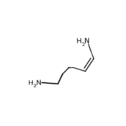 N/C=C\CCN